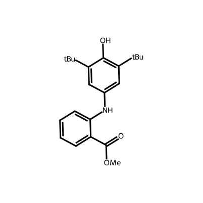 COC(=O)c1ccccc1Nc1cc(C(C)(C)C)c(O)c(C(C)(C)C)c1